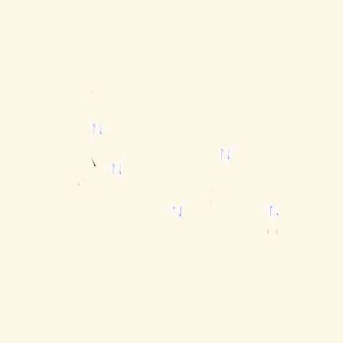 Cc1ccc(-c2noc(C)c2COc2cc3c(cn2)CN(C(=O)[C@H]2CCC(=O)N2C)CC3)cn1